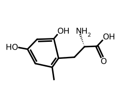 Cc1cc(O)cc(O)c1C[C@H](N)C(=O)O